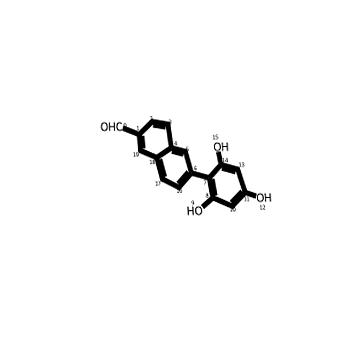 O=Cc1ccc2cc(-c3c(O)cc(O)cc3O)ccc2c1